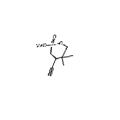 C#CC1CP(=O)(OC)OCC1(C)C